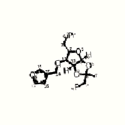 CC(C)C[C@H]1O[C@@H]2OC(C)(CF)O[C@@H]2[C@H]1OCc1ccoc1